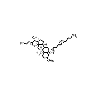 CC(=O)OC1CC[C@]2(C)[C@H]3CC[C@]4(C)[C@@H]([C@H](C)CCCC(C)C)CC[C@H]4C3=C[C@@H](NCCCCNCCCN)[C@@]2(O)C1